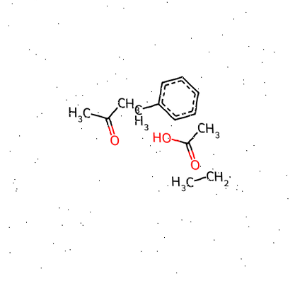 CC(=O)O.CC(C)=O.Cc1ccccc1.[CH2]C